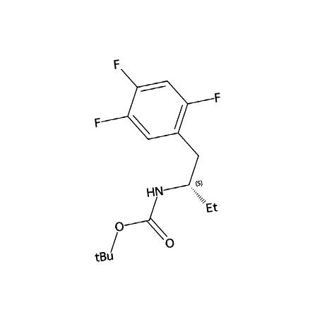 CC[C@@H](Cc1cc(F)c(F)cc1F)NC(=O)OC(C)(C)C